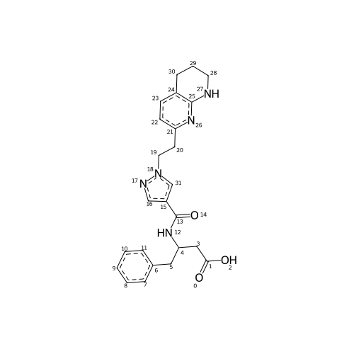 O=C(O)CC(Cc1ccccc1)NC(=O)c1cnn(CCc2ccc3c(n2)NCCC3)c1